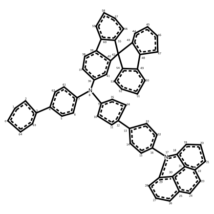 c1ccc(-c2ccc(N(c3ccc(-c4ccc(-n5c6cccc7ccc8cccc5c8c76)cc4)cc3)c3ccc4c(c3)C3(c5ccccc5-c5ccccc53)c3ccccc3-4)cc2)cc1